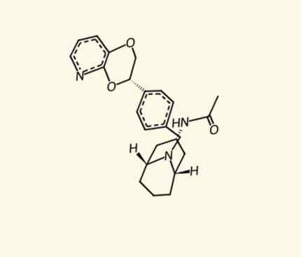 CC(=O)N[C@H]1C[C@H]2CCC[C@@H](C1)N2Cc1ccc([C@H]2COc3cccnc3O2)cc1